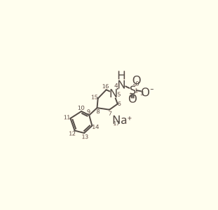 O=S(=O)([O-])NN1CCC(c2ccccc2)CC1.[Na+]